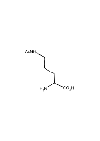 CC(=O)NCCCC(N)C(=O)O